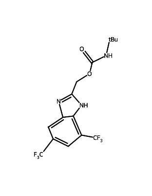 CC(C)(C)NC(=O)OCc1nc2cc(C(F)(F)F)cc(C(F)(F)F)c2[nH]1